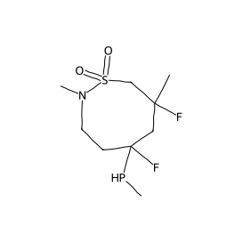 CPC1(F)CCN(C)S(=O)(=O)CC(C)(F)C1